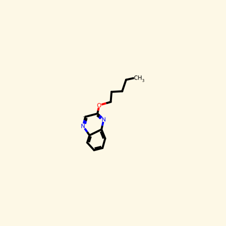 CCCCCOc1[c]nc2ccccc2n1